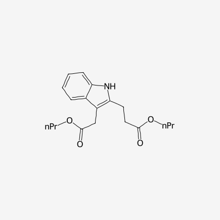 CCCOC(=O)CCc1[nH]c2ccccc2c1CC(=O)OCCC